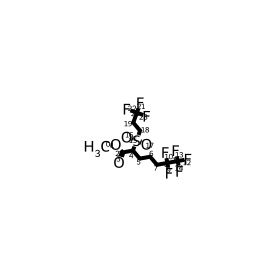 COC(=O)C(CCCC(F)(F)C(F)(F)F)S(=O)(=O)CCC(F)(F)F